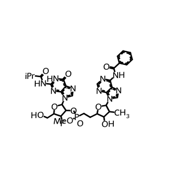 COP(=O)(CCC1OC(n2cnc3c(NC(=O)c4ccccc4)ncnc32)C(C)C1O)OC1C(F)C(CO)OC1n1cnc2c(=O)[nH]c(NC(=O)C(C)C)nc21